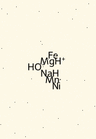 [Fe].[MgH+].[Mn].[NaH].[Ni].[OH-]